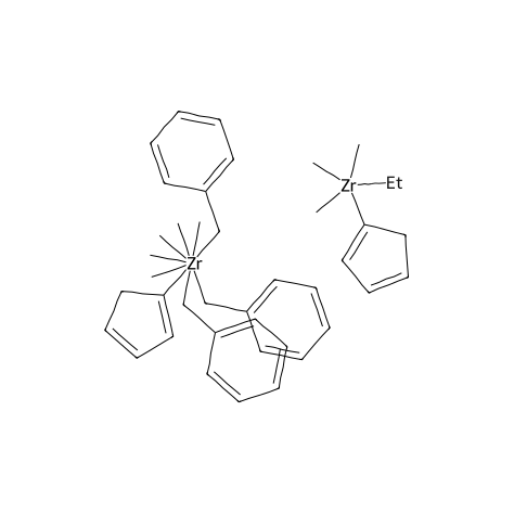 C[CH2][Zr]([CH3])([CH3])([CH3])[C]1=CC=CC1.[CH3][Zr]([CH3])([CH3])([CH3])([CH3])([CH2]c1ccccc1)([CH2]c1ccccc1)([CH2]c1ccccc1)[C]1=CC=CC1